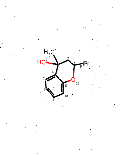 CC(C)C1CC(C)(O)c2ccccc2O1